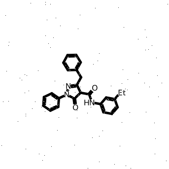 CCc1cccc(NC(=O)C2C(=O)N(c3ccccc3)N=C2Cc2ccccc2)c1